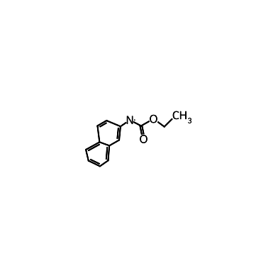 CCOC(=O)[N]c1ccc2ccccc2c1